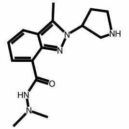 Cc1c2cccc(C(=O)NN(C)C)c2nn1C1CCNC1